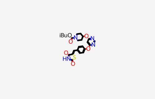 CC(C)COC(=O)N1CCC(Oc2cc(Oc3ccc(/C=C4\SC(=O)NC4=O)cc3)ncn2)CC1